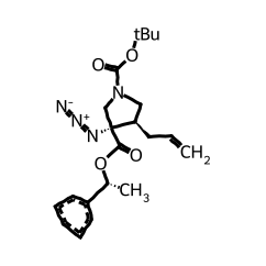 C=CC[C@@H]1CN(C(=O)OC(C)(C)C)C[C@]1(N=[N+]=[N-])C(=O)O[C@H](C)c1ccccc1